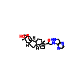 COC[C@]12CC[C@@](C)(O)C[C@@H]1CC[C@H]1[C@@H]3CC[C@H](C(=O)CN4NCc5nccnc54)[C@@]3(C)CC[C@@H]12